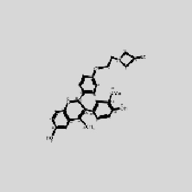 CCC1CN(CCOc2ccc([C@@H]3Oc4ccc(O)cc4C(C)=C3c3ccc(O)c(OC)c3)cc2)C1